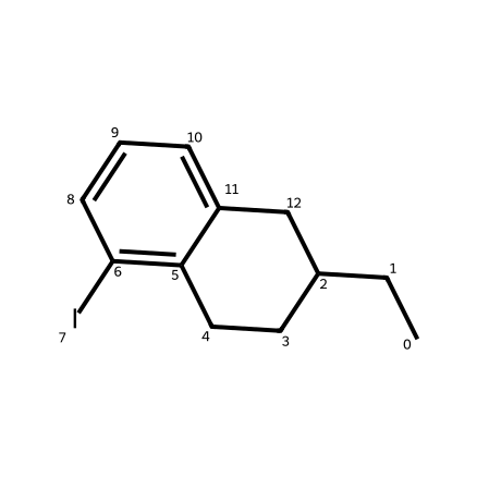 CCC1CCc2c(I)cccc2C1